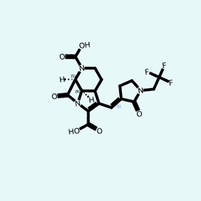 O=C(O)C1=C(/C=C2\CCN(CC(F)(F)F)C2=O)C2CCN(C(=O)O)[C@@H]3C(=O)N1[C@H]23